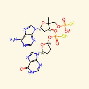 CC1(COP(=O)(O)S)O[C@@H](n2cnc3c(N)ncnc32)C[C@@H]1OP(=O)(S)O[C@@H]1CC[C@H](n2cnc3c(=O)[nH]cnc32)O1